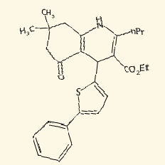 CCCC1=C(C(=O)OCC)C(c2ccc(-c3ccccc3)s2)C2=C(CC(C)(C)CC2=O)N1